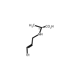 CCC=CCN[C@@H](C)C(=O)O